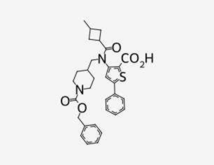 CC1CC(C(=O)N(CC2CCN(C(=O)OCc3ccccc3)CC2)c2cc(-c3ccccc3)sc2C(=O)O)C1